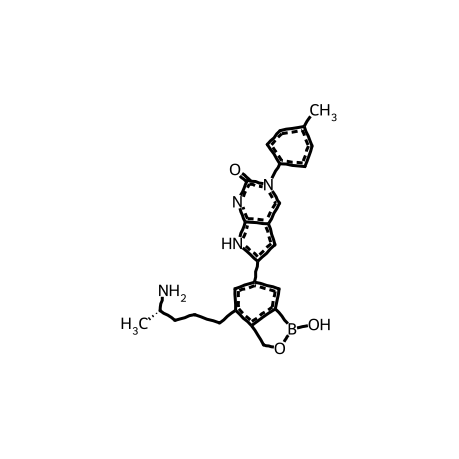 Cc1ccc(-n2cc3cc(-c4cc(CCC[C@H](C)N)c5c(c4)B(O)OC5)[nH]c3nc2=O)cc1